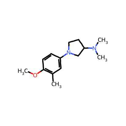 COc1ccc(N2CCC(N(C)C)C2)cc1C